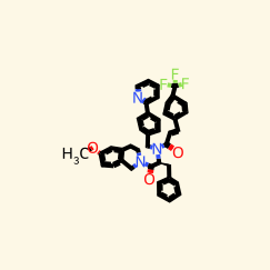 COc1ccc2c(c1)CCN(C(=O)[C@H](Cc1ccccc1)N(Cc1ccc(-c3ccccn3)cc1)C(=O)C=Cc1ccc(C(F)(F)F)cc1)C2